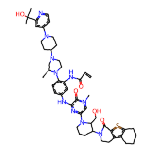 C=CC(=O)Nc1cc(Nc2nc(N3CCCC(N4CCc5c(sc6c5CCCC6)C4=O)C3CO)cn(C)c2=O)ccc1N1CCN(C2CCN(c3ccnc(C(C)(C)O)c3)CC2)C[C@@H]1C